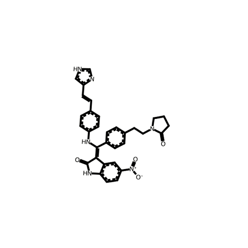 O=C1Nc2ccc([N+](=O)[O-])cc2/C1=C(/Nc1ccc(/C=C/c2c[nH]cn2)cc1)c1ccc(CCN2CCCC2=O)cc1